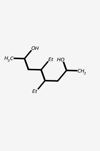 CCC(CC(C)O)C(CC)CC(C)O